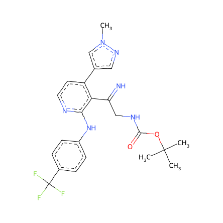 Cn1cc(-c2ccnc(Nc3ccc(C(F)(F)F)cc3)c2C(=N)CNC(=O)OC(C)(C)C)cn1